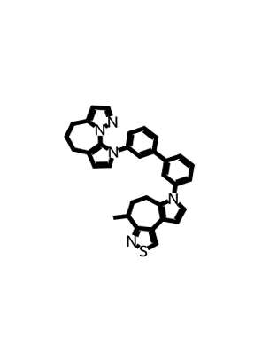 CC1CCc2c(ccn2-c2cccc(-c3cccc(-n4ccc5c4-n4nccc4CCC5)c3)c2)-c2csnc21